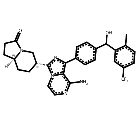 Cc1ccc(C(F)(F)F)cc1C(O)c1ccc(-c2nc([C@@H]3CC[C@H]4CCC(=O)N4C3)n3ccnc(N)c23)cc1